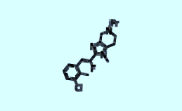 Cc1c(Cl)cccc1C=C(F)c1nc2c(n1C)CCN(C(C)C)C2